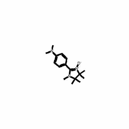 CN(C)c1ccc(C2=[N+]([O-])C(C)(C)C(C)(C)N2C)cc1